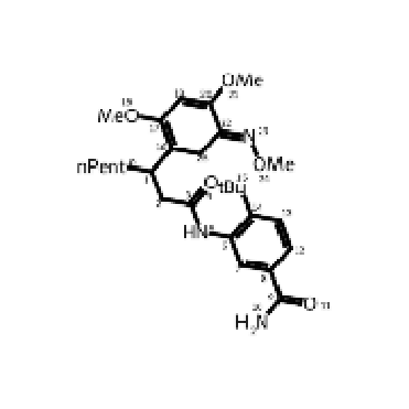 CCCCCC(CC(=O)Nc1cc(C(N)=O)ccc1C(C)(C)C)C1=C(OC)C=C(OC)C(=NOC)C1